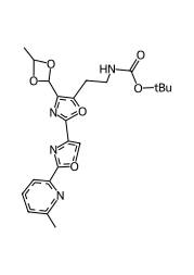 Cc1cccc(-c2nc(-c3nc(C4OC(C)O4)c(CCNC(=O)OC(C)(C)C)o3)co2)n1